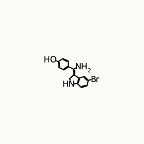 NC(=C1CNc2ccc(Br)cc21)c1ccc(O)cc1